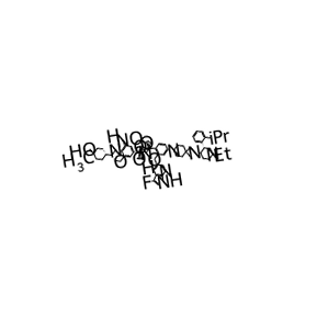 CCN1CC[C@H](N2CC3(CCN(c4ccc(C(=O)NS(=O)(=O)c5cc6c(c([N+](=O)[O-])c5)N[C@@H]([C@H]5CC[C@](C)(O)CC5)CO6)c(Oc5cnc6[nH]cc(F)c6c5)c4)CC3)C2)[C@H](c2ccccc2C(C)C)C1